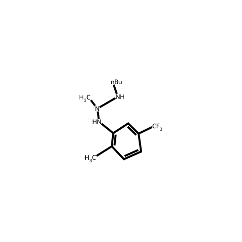 CCCCNN(C)Nc1cc(C(F)(F)F)ccc1C